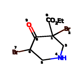 CCOC(=O)C1(Br)CNCC(Br)C1=O